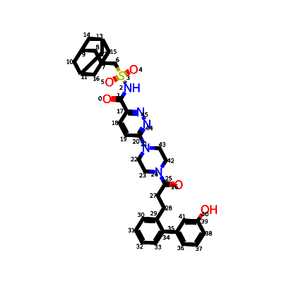 O=C(NS(=O)(=O)CC12CC3CC(CC(C3)C1)C2)c1ccc(N2CCN(C(=O)CCc3ccccc3-c3cccc(O)c3)CC2)nn1